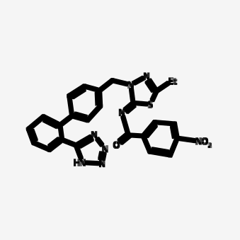 CCc1nn(Cc2ccc(-c3ccccc3-c3nnn[nH]3)cc2)c(=NC(=O)c2ccc([N+](=O)[O-])cc2)s1